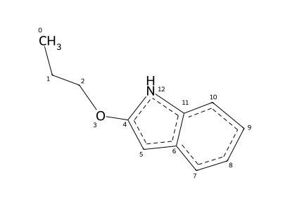 CCCOc1cc2ccccc2[nH]1